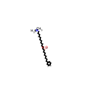 CN(C)CCCCCCCCCCCCCCCCCCCCc1ccccc1.O